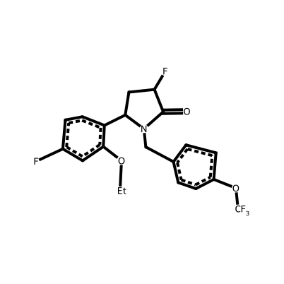 CCOc1cc(F)ccc1C1CC(F)C(=O)N1Cc1ccc(OC(F)(F)F)cc1